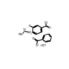 CC(C)(C)NN.Cl.O=C(Cl)c1cccc(F)c1.O=C(Cl)c1ccccc1